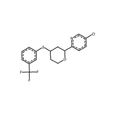 FC(F)(F)c1cccc(SC2CCOC(c3ccc(Cl)cn3)C2)c1